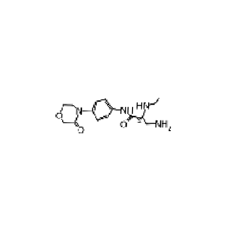 CCN[C@@H](CN)C(=O)Nc1ccc(N2CCOCC2=O)cc1